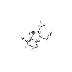 O=Cc1c(C2CC2)[nH]c2c(Br)cccc12